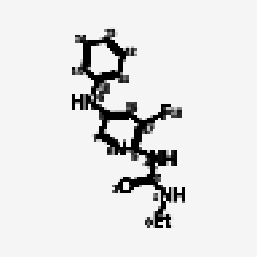 CCNC(=O)Nc1ncc(Nc2ccccc2)cc1F